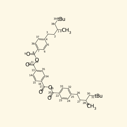 CC(CCc1ccc(C(=O)OC(=O)c2ccc(C(=O)OC(=O)c3ccc(CCC(C)CC(C)(C)C)cc3)cc2)cc1)CC(C)(C)C